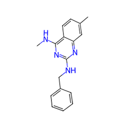 CNc1nc(NCc2ccccc2)nc2cc(C)ccc12